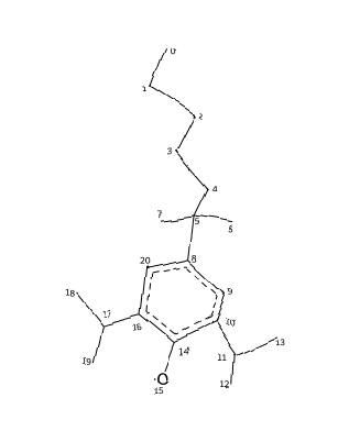 CCCCCC(C)(C)c1cc(C(C)C)c([O])c(C(C)C)c1